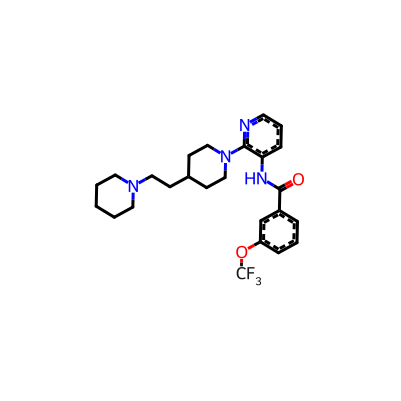 O=C(Nc1cccnc1N1CCC(CCN2CCCCC2)CC1)c1cccc(OC(F)(F)F)c1